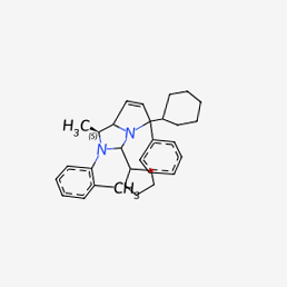 Cc1ccccc1N1C(C2CCCC2)N2C(C=CC2(c2ccccc2)C2CCCCC2)[C@@H]1C